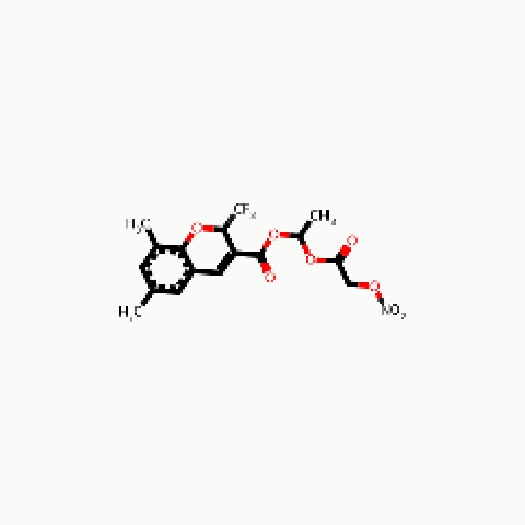 Cc1cc(C)c2c(c1)C=C(C(=O)OC(C)OC(=O)CO[N+](=O)[O-])C(C(F)(F)F)O2